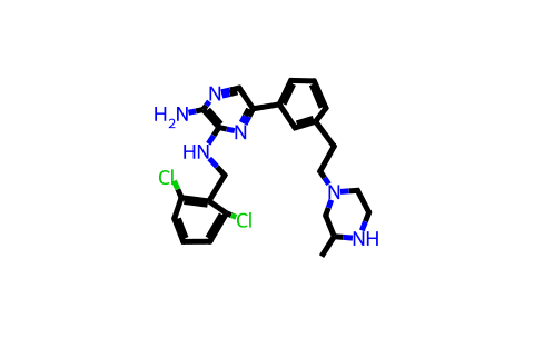 CC1CN(CCc2cccc(-c3cnc(N)c(NCc4c(Cl)cccc4Cl)n3)c2)CCN1